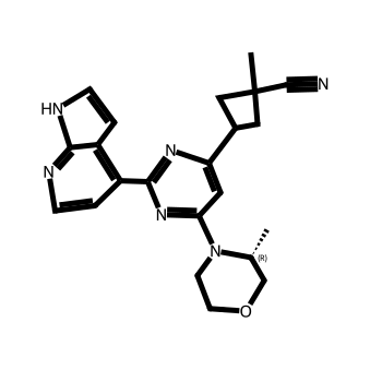 C[C@@H]1COCCN1c1cc(C2CC(C)(C#N)C2)nc(-c2ccnc3[nH]ccc23)n1